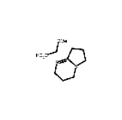 C1CN=C2CCCN2C1.COCC(=O)O